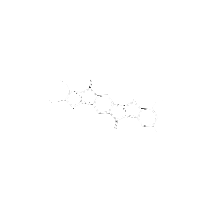 N#Cc1nc2c3cc4c(=O)n5c6cc(C(F)(F)F)cc(C(F)(F)F)c6nc5c4cc3c(=O)n2c1C#N